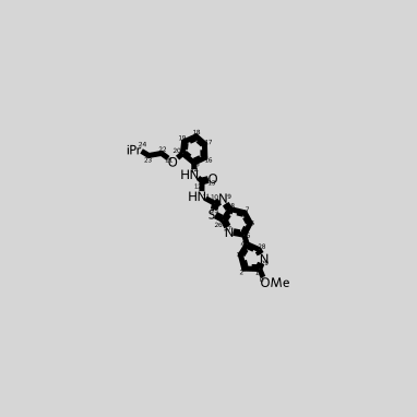 COc1ccc(-c2ccc3nc(NC(=O)Nc4ccccc4OCCC(C)C)sc3n2)cn1